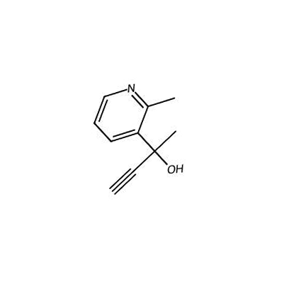 C#CC(C)(O)c1cccnc1C